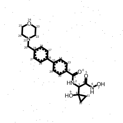 O=C(NC(C(=O)NO)C1(O)CC1)c1ccc(-c2ccc(CN3CCOCC3)cc2)cc1